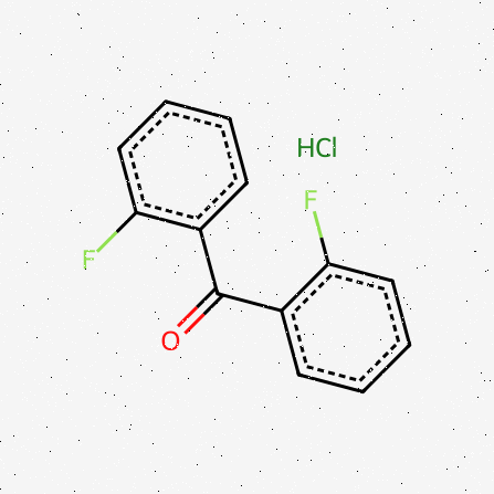 Cl.O=C(c1ccccc1F)c1ccccc1F